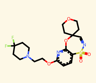 O=S1(=O)N=CC2(CCOCC2)Oc2nc(OCCN3CCC(F)(F)CC3)ccc21